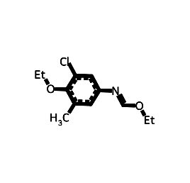 CCOC=Nc1cc(C)c(OCC)c(Cl)c1